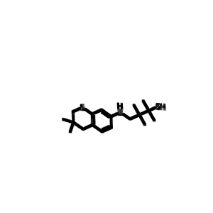 CC1(C)CSc2cc(BCC(C)(C)C(C)(C)S)ccc2C1